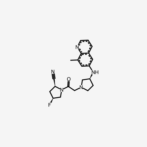 Cc1cc(N[C@H]2CCN(CC(=O)N3C[C@@H](F)C[C@H]3C#N)C2)cc2cccnc12